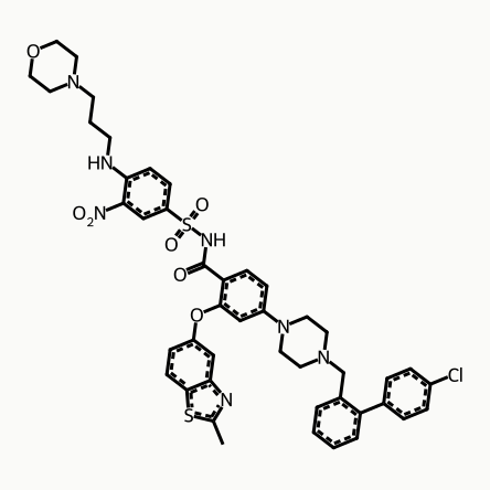 Cc1nc2cc(Oc3cc(N4CCN(Cc5ccccc5-c5ccc(Cl)cc5)CC4)ccc3C(=O)NS(=O)(=O)c3ccc(NCCCN4CCOCC4)c([N+](=O)[O-])c3)ccc2s1